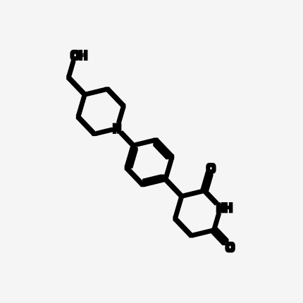 O=C1CCC(c2ccc(N3CCC(CO)CC3)cc2)C(=O)N1